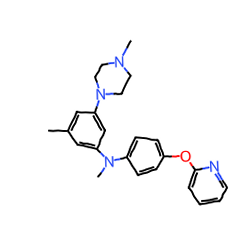 Cc1cc(N2CCN(C)CC2)cc(N(C)c2ccc(Oc3ccccn3)cc2)c1